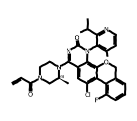 C=CC(=O)N1CCN(c2nc(=O)n(-c3c(C)ccnc3C(C)C)c3c4c(c(Cl)cc23)-c2c(F)cccc2CO4)[C@@H](C)C1